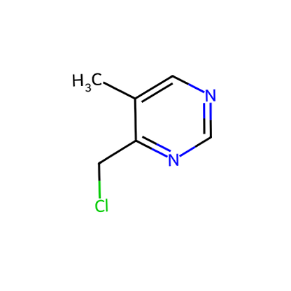 Cc1cncnc1CCl